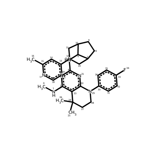 CNc1nc(NC2C3CCC2CN(c2cc(C)ncn2)C3)nc2c1C(C)(C)CCN2c1ccc(F)cc1